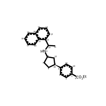 CCOC(=O)c1ccc([C@H]2CCC(NC(C)c3cccc4ccccc34)C2)cc1